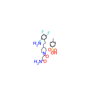 Cc1ccc(S(=O)(=O)O)cc1.NC(=O)CC(=O)N1CCC([C@H](N)Cc2cc(F)c(F)cc2F)CC1